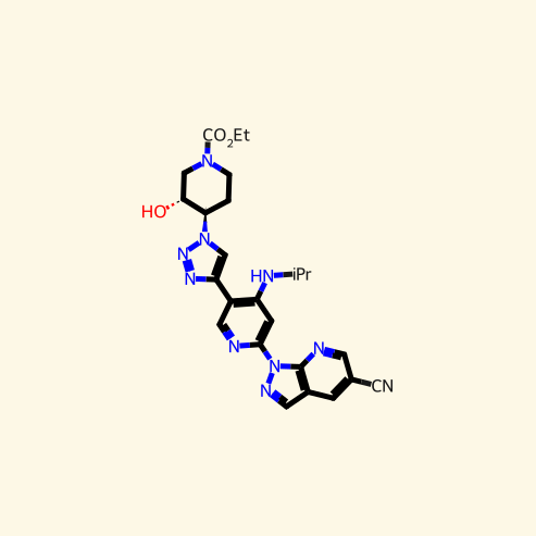 CCOC(=O)N1CC[C@@H](n2cc(-c3cnc(-n4ncc5cc(C#N)cnc54)cc3NC(C)C)nn2)[C@H](O)C1